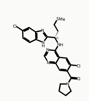 CSCC[C@H](Nc1ncnc2cc(C(=O)N3CCCC3)c(Cl)cc12)c1nc2cc(Cl)ccc2[nH]1